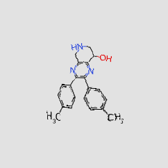 Cc1ccc(-c2nc3c(nc2-c2ccc(C)cc2)C(O)CNC3)cc1